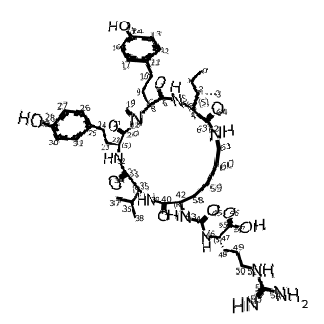 CC[C@H](C)[C@@H]1NC(=O)[C@H](CCc2ccc(O)cc2)N(C)C(=O)[C@H](CCc2ccc(O)cc2)NC(=O)[C@H](C(C)C)NC(=O)[C@H](NC(=O)N[C@@H](CCCNC(=N)N)C(=O)O)CCCCNC1=O